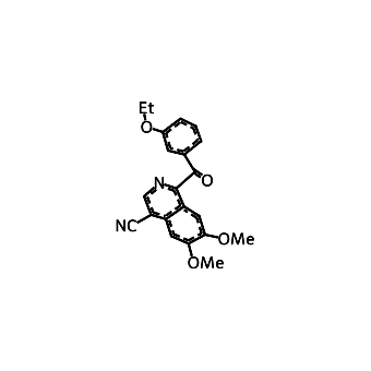 CCOc1cccc(C(=O)c2ncc(C#N)c3cc(OC)c(OC)cc23)c1